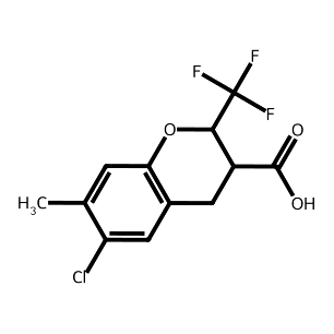 Cc1cc2c(cc1Cl)CC(C(=O)O)C(C(F)(F)F)O2